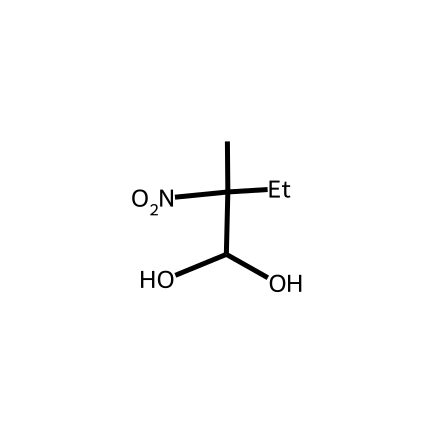 CCC(C)(C(O)O)[N+](=O)[O-]